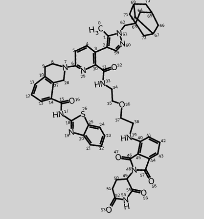 Cc1c(-c2ccc(N3CCc4cccc(C(=O)Nc5nc6ccccc6s5)c4C3)nc2C(=O)NCCOCCNc2cccc3c2C(=O)N(C2CCC(=O)NC2=O)C3=O)cnn1CC12CC3CC(CC(C3)C1)C2